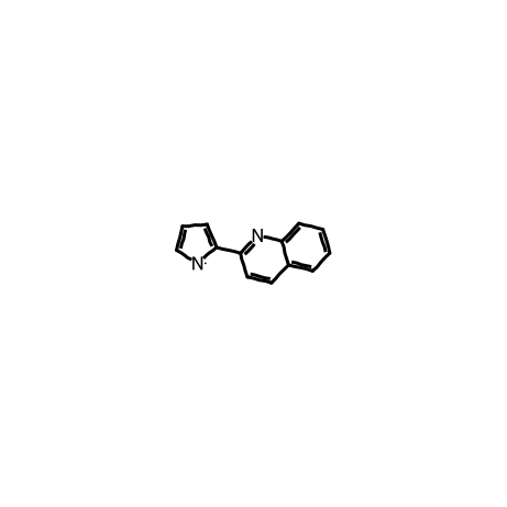 C1=C[N]C(c2ccc3ccccc3n2)=C1